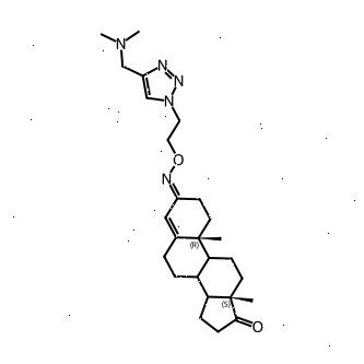 CN(C)Cc1cn(CCON=C2C=C3CCC4C(CC[C@]5(C)C(=O)CCC45)[C@@]3(C)CC2)nn1